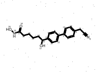 N#CCc1ccc(-c2ccc(C(O)CCCCC(=O)NO)cc2)cc1